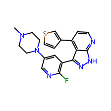 CN1CCN(c2cnc(F)c(-c3n[nH]c4nccc(-c5ccsc5)c34)c2)CC1